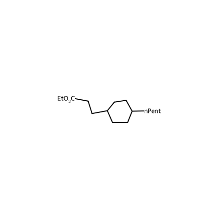 CCCCCC1CCC(CCC(=O)OCC)CC1